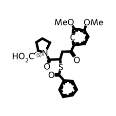 COc1ccc(C(=O)CC(SC(=O)c2ccccc2)C(=O)N2CCC[C@H]2C(=O)O)cc1OC